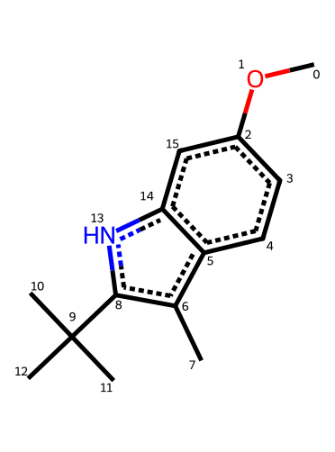 COc1ccc2c(C)c(C(C)(C)C)[nH]c2c1